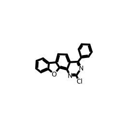 Clc1nc(-c2ccccc2)c2ccc3c4ccccc4oc3c2n1